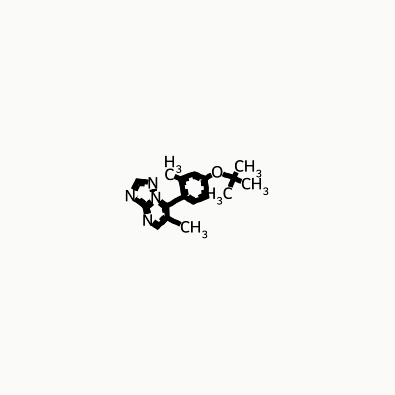 Cc1cc(OC(C)(C)C)ccc1-c1c(C)cnc2ncnn12